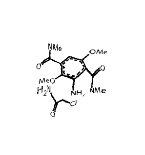 CNC(=O)c1cc(OC)c(C(=O)NC)c(N)c1OC.NC(=O)CCl